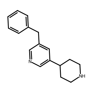 c1ccc(Cc2cncc(C3CCNCC3)c2)cc1